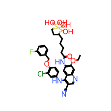 CCOc1cc2ncc(C#N)c(Nc3ccc(OCc4cccc(F)c4)c(Cl)c3)c2cc1NC(=O)CCCCC1CCS(O)(O)S1(O)O